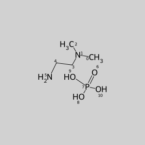 CN(C)CCN.O=P(O)(O)O